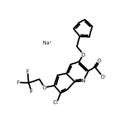 O=C([O-])c1nc2cc(Cl)c(OCC(F)(F)F)cc2cc1OCc1ccccc1.[Na+]